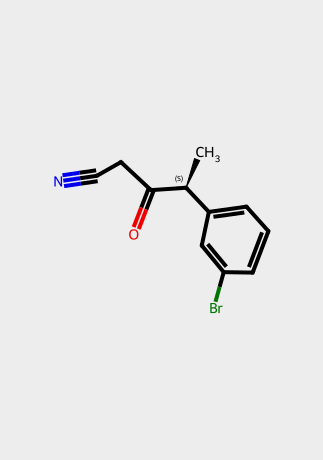 C[C@H](C(=O)CC#N)c1cccc(Br)c1